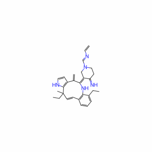 C=C/N=C/N1CCC(=N)/C(=C2\Nc3c(cccc3CC)/C=C/C(C)(CC)c3[nH]ccc3C2=C)C1